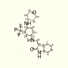 O=C1Nc2ccccc2C1=CNc1ccc(NC2CCOCC2)c(C(F)(F)F)c1